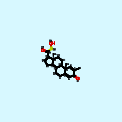 CC1=C[C@@]2(C)C(=CC1=O)CCC1C3CCC(C(=O)SO)[C@@]3(C)CCC12